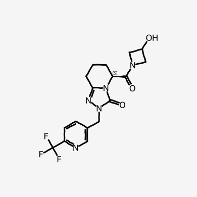 O=C([C@@H]1CCCc2nn(Cc3ccc(C(F)(F)F)nc3)c(=O)n21)N1CC(O)C1